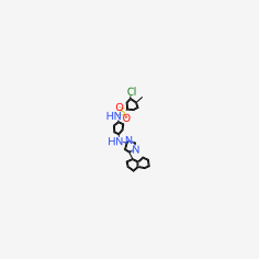 Cc1ccc(S(=O)(=O)Nc2ccc(Nc3cc(-c4cccc5ccccc45)ncn3)cc2)cc1Cl